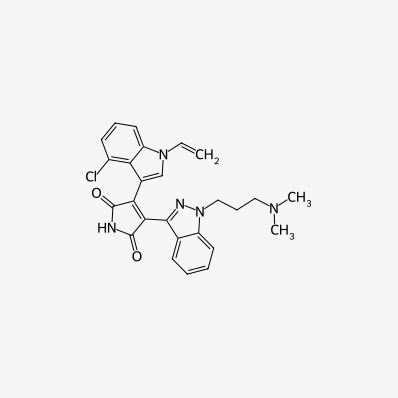 C=Cn1cc(C2=C(c3nn(CCCN(C)C)c4ccccc34)C(=O)NC2=O)c2c(Cl)cccc21